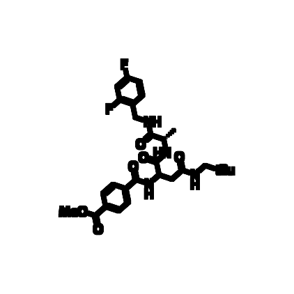 COC(=O)c1ccc(C(=O)NC(CC(=O)NCC(C)(C)C)C(=O)N[C@@H](C)C(=O)NCc2ccc(F)cc2F)cc1